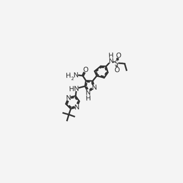 CCS(=O)(=O)Nc1ccc(-c2n[nH]c(Nc3cnc(C(C)(C)C)cn3)c2C(N)=O)cc1